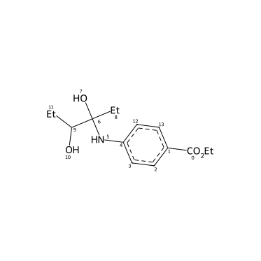 CCOC(=O)c1ccc(NC(O)(CC)C(O)CC)cc1